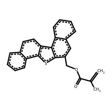 C=C(C)C(=O)OCc1cc2ccccc2c2c1sc1c3ccccc3ccc12